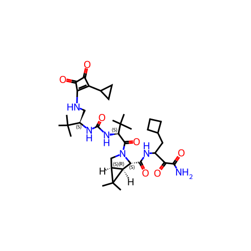 CC(C)(C)[C@H](NC(=O)N[C@H](CNc1c(C2CC2)c(=O)c1=O)C(C)(C)C)C(=O)N1C[C@H]2[C@@H]([C@H]1C(=O)NC(CC1CCC1)C(=O)C(N)=O)C2(C)C